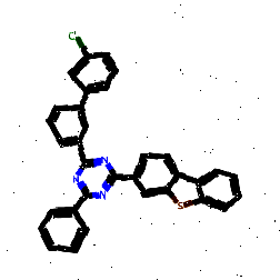 Clc1cccc(-c2cccc(-c3nc(-c4ccccc4)nc(-c4ccc5c(c4)sc4ccccc45)n3)c2)c1